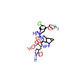 COc1cc(Cl)cc2[nH]c(C(=O)N3CC4C5CC5CC4C3C(=O)NC(CC3CCNC3=O)C(=O)CO)cc12